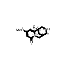 COc1cc2n(c(=O)c1)CC1CNC[C@H]2C1